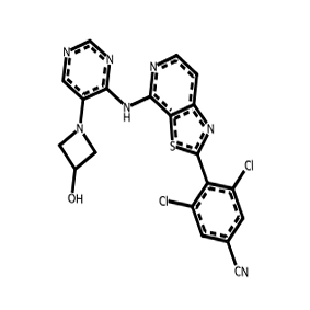 N#Cc1cc(Cl)c(-c2nc3ccnc(Nc4ncncc4N4CC(O)C4)c3s2)c(Cl)c1